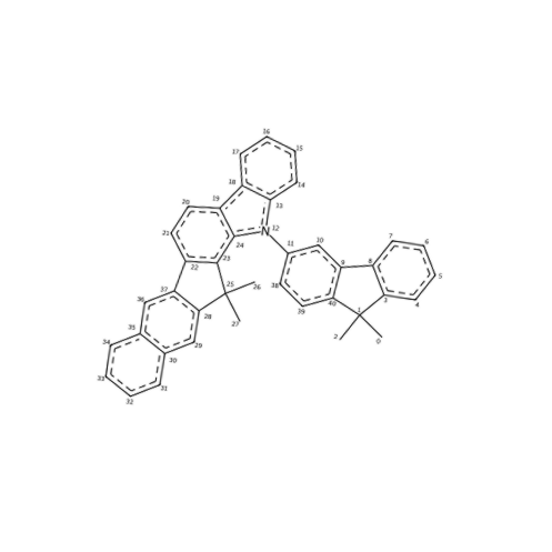 CC1(C)c2ccccc2-c2cc(-n3c4ccccc4c4ccc5c(c43)C(C)(C)c3cc4ccccc4cc3-5)ccc21